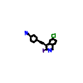 N#Cc1ccc(C#Cc2c(I)ncc3ccc(Cl)cc23)cc1